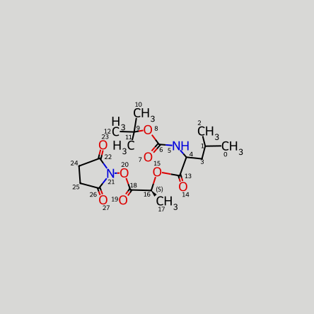 CC(C)CC(NC(=O)OC(C)(C)C)C(=O)O[C@@H](C)C(=O)ON1C(=O)CCC1=O